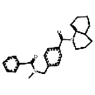 CN(Cc1ccc(C(=O)N2CCCC3CCCC=C32)cc1)C(=O)c1ccccc1